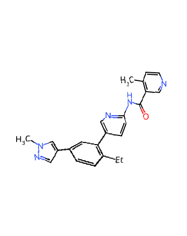 CCc1ccc(-c2cnn(C)c2)cc1-c1ccc(NC(=O)c2cnccc2C)nc1